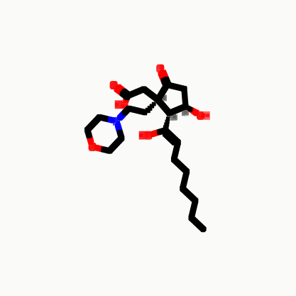 CCCCCCC=C(O)[C@H]1[C@H](O)CC(=O)[C@]1(CCN1CCOCC1)CC(=O)O